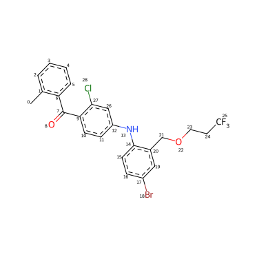 Cc1ccccc1C(=O)c1ccc(Nc2ccc(Br)cc2COCCC(F)(F)F)cc1Cl